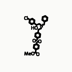 COC(=O)c1ccc(S(=O)(=O)c2ccc(CCN(Cc3ccccc3)C[C@H](O)c3ccc(Cl)cc3)cc2)cc1